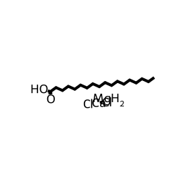 CCCCCCCCCCCCCCCCCC(=O)O.[Cl][Ca][Cl].[MgH2]